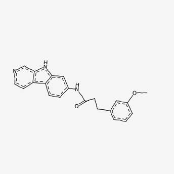 COc1cccc(CCC(=O)Nc2ccc3c(c2)[nH]c2cnccc23)c1